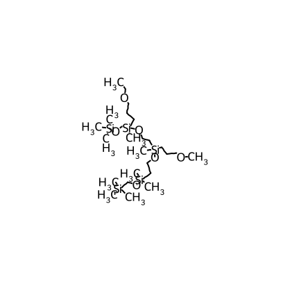 CCOCCC[Si](C)(CO[Si](C)(C)C)OCC[Si](C)(CCCOC)OCC[Si](C)(C)OC[Si](C)(C)C